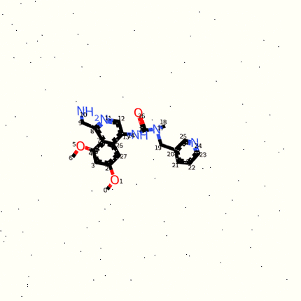 COc1cc(OC)c2c(CN)ncc(NC(=O)N(C)Cc3cccnc3)c2c1